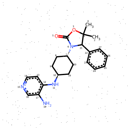 CC1(C)OC(=O)N([C@H]2CC[C@H](Nc3ccncc3N)CC2)C1c1ccccc1